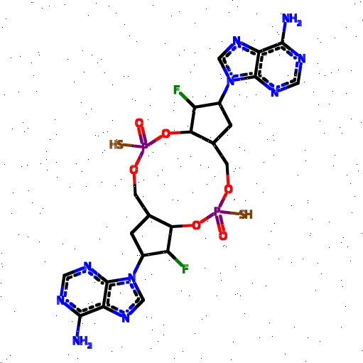 Nc1ncnc2c1ncn2C1CC2COP(=O)(S)OC3C(COP(=O)(S)OC2C1F)CC(n1cnc2c(N)ncnc21)C3F